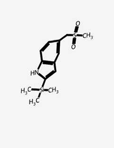 C[Si](C)(C)c1cc2cc(CS(C)(=O)=O)ccc2[nH]1